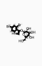 OC[C@H]1O[C@@H](Oc2c[nH]c3cc(Br)cc(Br)c23)[C@H](O)[C@@H](O)[C@@H]1O